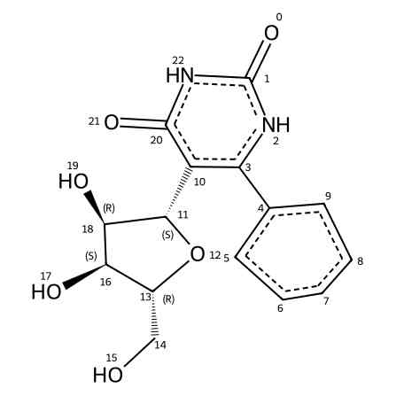 O=c1[nH]c(-c2ccccc2)c([C@@H]2O[C@H](CO)[C@@H](O)[C@H]2O)c(=O)[nH]1